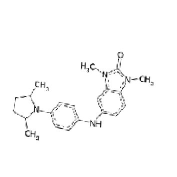 CC1CCC(C)N1c1ccc(Nc2ccc3c(c2)n(C)c(=O)n3C)cc1